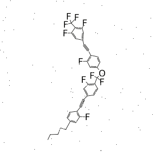 CCCCCc1ccc(C#Cc2ccc(C(F)(F)Oc3ccc(C#Cc4cc(F)c(C(F)(F)F)c(F)c4)c(F)c3)c(F)c2)c(F)c1